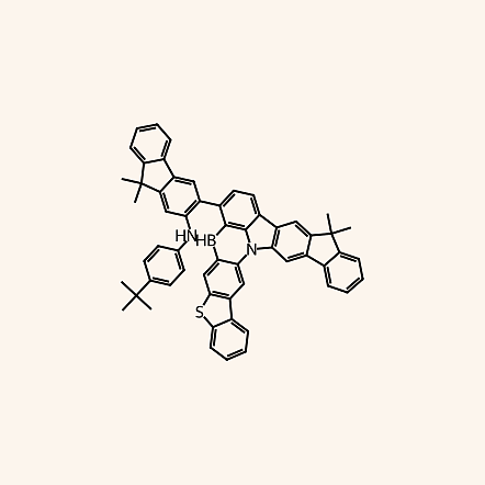 CC(C)(C)c1ccc(Nc2cc3c(cc2-c2ccc4c5cc6c(cc5n5c4c2Bc2cc4sc7ccccc7c4cc2-5)-c2ccccc2C6(C)C)-c2ccccc2C3(C)C)cc1